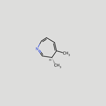 CC1=CC=CN=C[C@H]1C